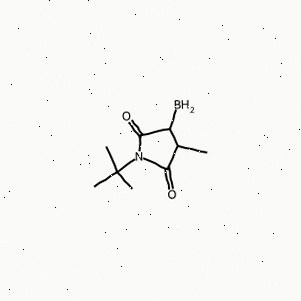 BC1C(=O)N(C(C)(C)C)C(=O)C1C